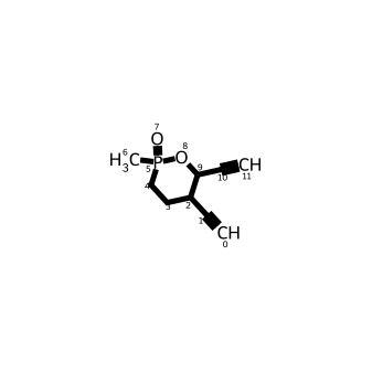 C#CC1CCP(C)(=O)OC1C#C